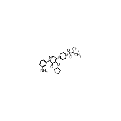 CC(C)S(=O)(=O)N1CCN(c2cnn(-c3cccc(N)c3)c(=O)c2OC2CCCC2)CC1